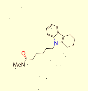 CNC(=O)CCCCCn1c2c(c3ccccc31)CCCC2